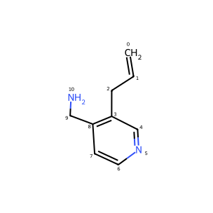 C=CCc1cnccc1CN